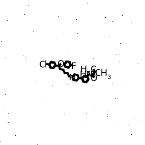 CC(C)C(=O)Nc1cccc(C2CCN(CCCCCC(Oc3ccc(F)cc3)c3ccc(Cl)cc3)CC2)c1